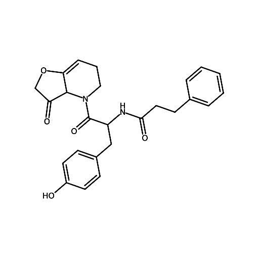 O=C(CCc1ccccc1)NC(Cc1ccc(O)cc1)C(=O)N1CCC=C2OCC(=O)C21